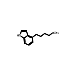 CCCCCCCCCCCCc1cccc2[nH]ccc12